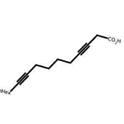 CCCCCCC#CCCCCC#CCC(=O)O